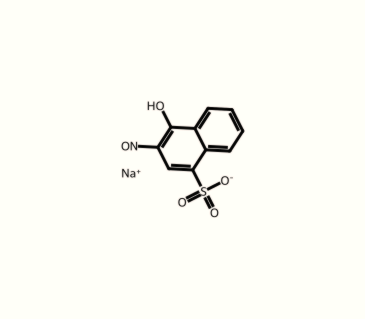 O=Nc1cc(S(=O)(=O)[O-])c2ccccc2c1O.[Na+]